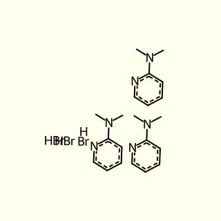 Br.Br.Br.CN(C)c1ccccn1.CN(C)c1ccccn1.CN(C)c1ccccn1